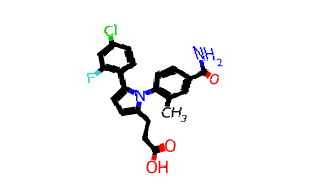 Cc1cc(C(N)=O)ccc1-n1c(CCC(=O)O)ccc1-c1ccc(Cl)cc1F